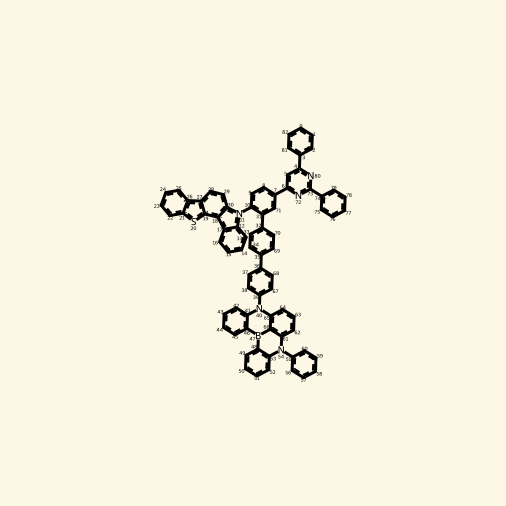 c1ccc(-c2cc(-c3ccc(-n4c5ccccc5c5c6sc7ccccc7c6ccc54)c(-c4ccc(-c5ccc(N6c7ccccc7B7c8ccccc8N(c8ccccc8)c8cccc6c87)cc5)cc4)c3)nc(-c3ccccc3)n2)cc1